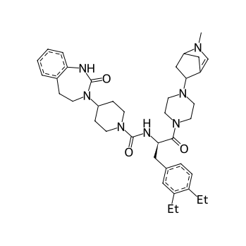 CCc1ccc(C[C@@H](NC(=O)N2CCC(N3CCc4ccccc4NC3=O)CC2)C(=O)N2CCN(C3CC4CC3=CN4C)CC2)cc1CC